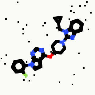 Fc1ccccc1-n1ccc2c(OC3CCN(c4nc5ccccc5n4CC4CC4)CC3)ncnc21